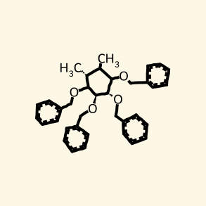 CC1C(OCc2ccccc2)[C@H](OCc2ccccc2)[C@@H](OCc2ccccc2)C(OCc2ccccc2)[C@@H]1C